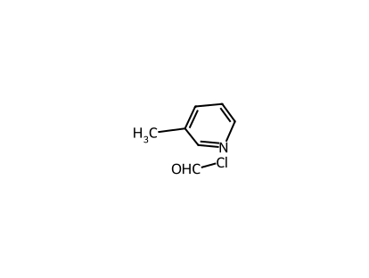 Cc1cccnc1.O=CCl